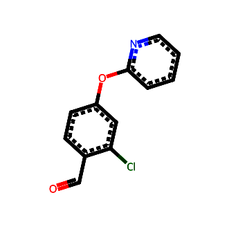 O=Cc1ccc(Oc2ccccn2)cc1Cl